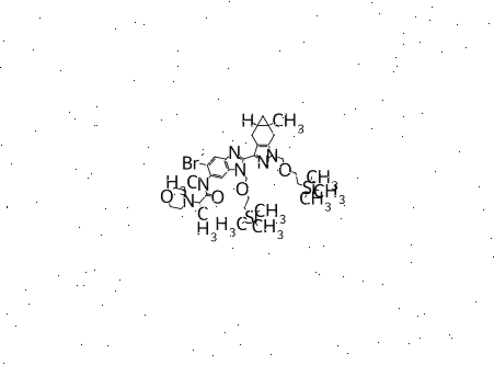 C[C@@H](C(=O)N(C)c1cc2c(cc1Br)nc(-c1nn(COCC[Si](C)(C)C)c3c1C[C@@H]1C[C@]1(C)C3)n2COCC[Si](C)(C)C)N1CCOCC1